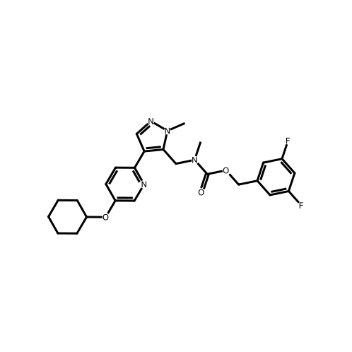 CN(Cc1c(-c2ccc(OC3CCCCC3)cn2)cnn1C)C(=O)OCc1cc(F)cc(F)c1